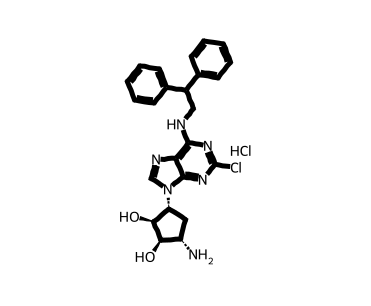 Cl.N[C@H]1C[C@@H](n2cnc3c(NCC(c4ccccc4)c4ccccc4)nc(Cl)nc32)[C@H](O)[C@@H]1O